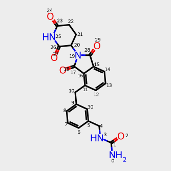 NC(=O)NCc1cccc(Cc2cccc3c2C(=O)N(C2CCC(=O)NC2=O)C3=O)c1